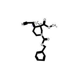 COC(=O)[C@@]1(C)CN(C(=O)OCc2ccccc2)CC/C1=C\C#N